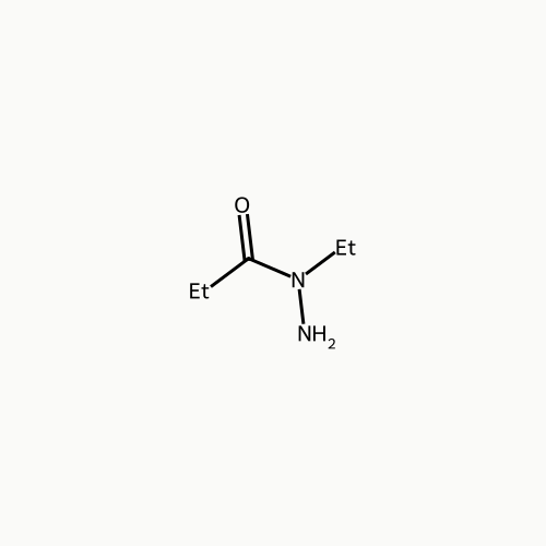 [CH2]CN(N)C(=O)CC